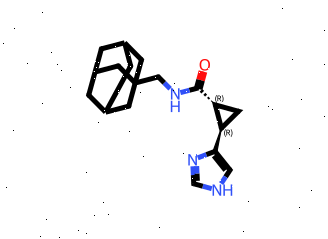 O=C(NCC12CC3CC(CC(C3)C1)C2)[C@@H]1C[C@H]1c1c[nH]cn1